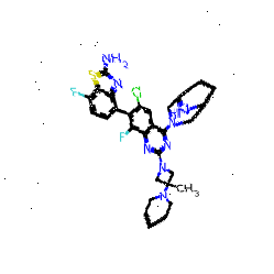 CC1(N2CCCCC2)CN(c2nc(N3CC4CCC(C3)N4)c3cc(Cl)c(-c4ccc(F)c5sc(N)nc45)c(F)c3n2)C1